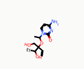 C=CC(CO)(OC(C)n1ccc(N)nc1=O)C(O)CC